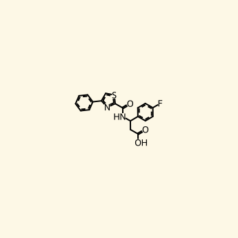 O=C(O)CC(NC(=O)c1nc(-c2ccccc2)cs1)c1ccc(F)cc1